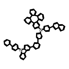 c1ccc(-c2ccc(-n3c4ccccc4c4cc(-c5cccc(-c6ccc(N(c7ccc(-c8ccc9ccccc9c8)cc7)c7ccc8c(c7)-c7ccccc7-c7ccccc7-c7ccccc7-8)cc6)c5)ccc43)cc2)cc1